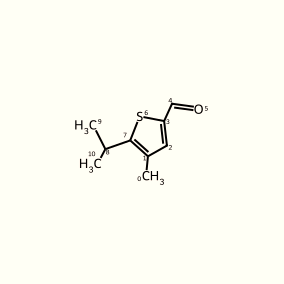 Cc1cc(C=O)sc1C(C)C